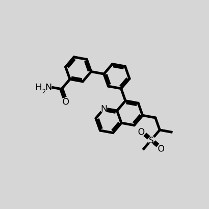 CC(Cc1cc(-c2cccc(-c3cccc(C(N)=O)c3)c2)c2ncccc2c1)S(C)(=O)=O